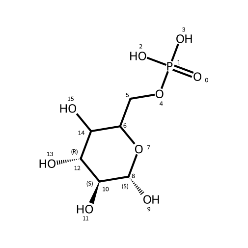 O=P(O)(O)OCC1O[C@H](O)[C@@H](O)[C@H](O)C1O